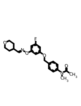 CC(=O)N(C)c1ccc(COc2cc(F)cc(ON=CC3CCOCC3)c2)cc1